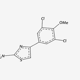 COc1c(Cl)cc(-c2csc(N)n2)cc1Cl